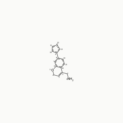 NCC1=CCOc2cc(-c3ccsc3)ccc21